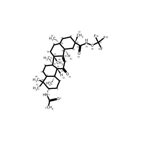 CC(=O)N[C@H]1CC[C@@]2(C)C(CC[C@]3(C)[C@@H]2C(=O)C=C2[C@@H]4C[C@@](C)(C(=O)NOC(F)(F)F)CC[C@]4(C)CC[C@]23C)C1(C)C